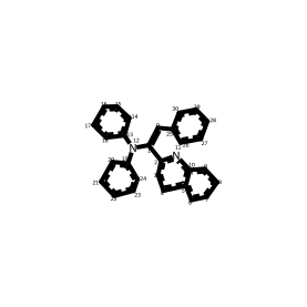 C(=C(c1ccc2ccccc2n1)N(c1ccccc1)c1ccccc1)c1ccccc1